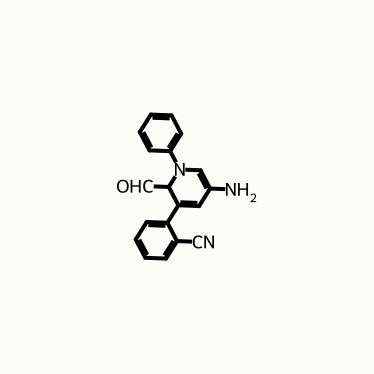 N#Cc1ccccc1C1=CC(N)=CN(c2ccccc2)C1C=O